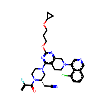 C=C(F)C(=O)N1CCN(c2nc(OCCCOC3CC3)nc3c2CCN(c2cncc4cccc(Cl)c24)C3)C[C@@H]1CC#N